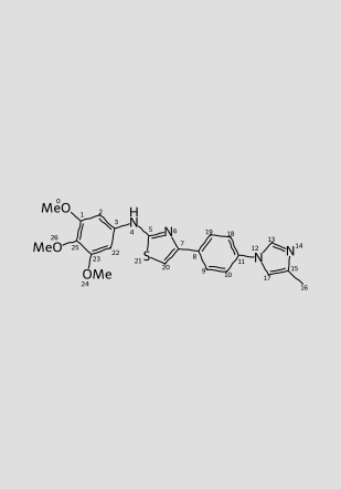 COc1cc(Nc2nc(-c3ccc(-n4cnc(C)c4)cc3)cs2)cc(OC)c1OC